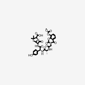 COC(=O)Oc1cccc2c(=O)n(CC(=O)N[C@H](C)C(=O)N[C@@H](C(=O)N[C@@H]3C(=O)N4C3SC(C)(C)C4C(=O)O)c3ccc(O)cc3)c(=O)oc12